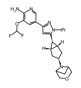 CC(C)n1nc(-c2cnc(N)c(OC(F)F)c2)cc1[C@H]1[C@@H]2C[C@@H](N3C4COCC3C4)C[C@@H]21